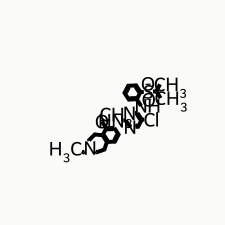 CCN1CCc2ccc(Nc3ncc(Cl)c(Nc4ccccc4S(=O)(=O)C(C)C)n3)c(OC)c2CC1